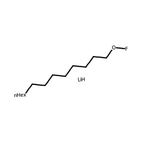 CCCCCCCCCCCCCCOF.[LiH]